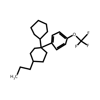 CCCC1CCC(c2ccc(OC(F)(F)F)cc2)(C2CCCCC2)CC1